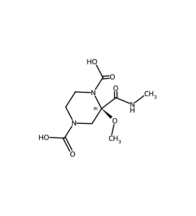 CNC(=O)[C@]1(OC)CN(C(=O)O)CCN1C(=O)O